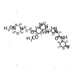 COc1cc2c(Nc3cnn(CC(=O)Nc4cccc(F)c4)c3)ncnc2cc1OCCCN1CCCN(C)CC1